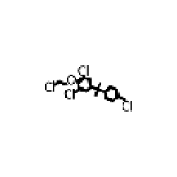 CC(C)(c1ccc(CCl)cc1)c1cc(Cl)c(OCCCl)c(Cl)c1